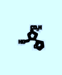 O=C(O)N1C[C@H](CO)[C@@H](c2ccco2)C1